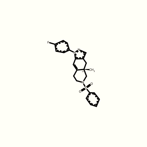 C[C@]12Cc3cnn(-c4ccc(F)cc4)c3C=C1CCN(S(=O)(=O)c1ccccc1)C2